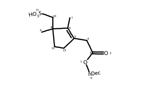 CCCCCCCCCCOC(=O)CC1=C(C)C(C)(CS(=O)(=O)O)CC1